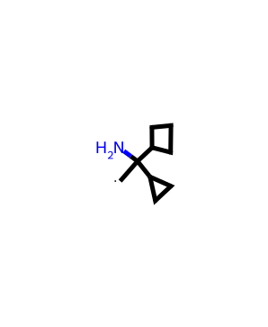 [CH2]C(N)(C1CCC1)C1CC1